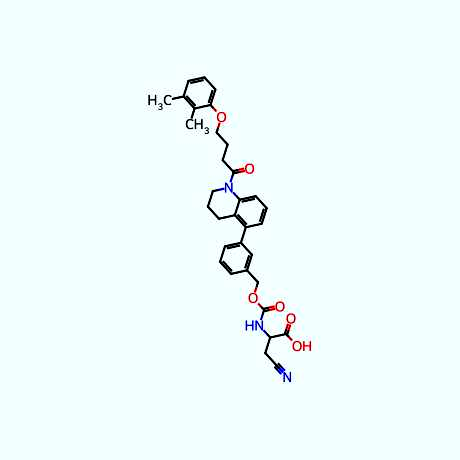 Cc1cccc(OCCCC(=O)N2CCCc3c(-c4cccc(COC(=O)NC(CC#N)C(=O)O)c4)cccc32)c1C